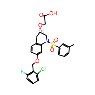 Cc1cccc(S(=O)(=O)N2C[C@H](OCC(=O)O)Cc3ccc(OCc4c(F)cccc4Cl)cc32)c1